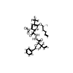 C=CCC[C@@H](C)Oc1nc(C(=O)NNC(=O)C(OCc2ccccc2)C(F)(F)C=C)c([N+](=O)[O-])cc1C(F)(F)F